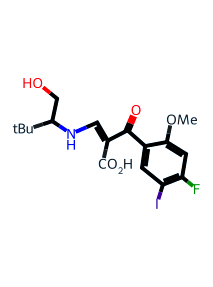 COc1cc(F)c(I)cc1C(=O)/C(=C/NC(CO)C(C)(C)C)C(=O)O